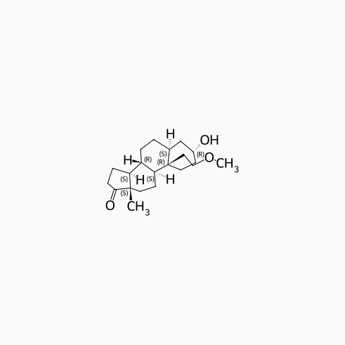 COCC[C@]12CC[C@@H](O)C[C@@H]1CC[C@@H]1[C@@H]2CC[C@]2(C)C(=O)CC[C@@H]12